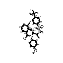 COc1ccc(-n2c(C(C)N(C)S(=O)(=O)c3ccc(C(C)(C)C)cc3)nc3c(C)cccc3c2=O)cc1